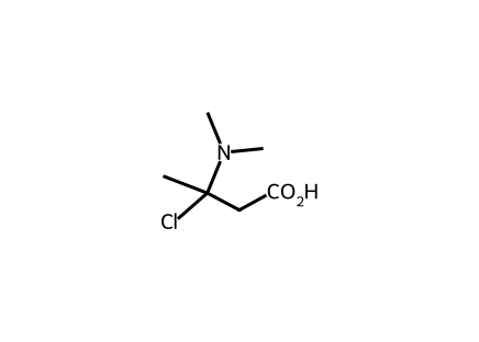 CN(C)C(C)(Cl)CC(=O)O